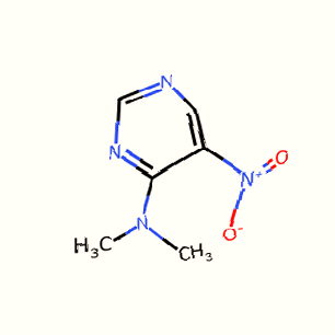 CN(C)c1ncncc1[N+](=O)[O-]